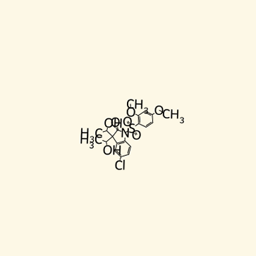 COc1ccc(S(=O)(=O)N2C(=O)C(C(C)O)(C(C)O)c3cc(Cl)ccc32)c(OC)c1